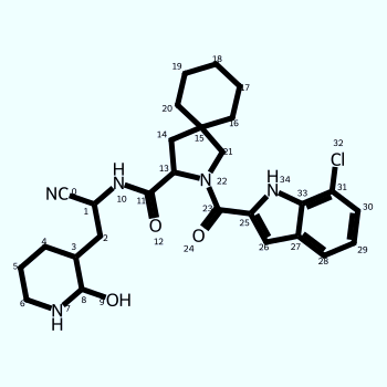 N#CC(CC1CCCNC1O)NC(=O)C1CC2(CCCCC2)CN1C(=O)c1cc2cccc(Cl)c2[nH]1